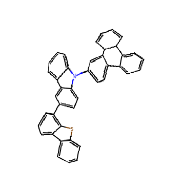 C1=CC2c3ccccc3-c3ccc(-n4c5ccccc5c5cc(-c6cccc7c6sc6ccccc67)ccc54)cc3C2C=C1